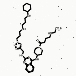 O=C(O)CNCCCC(=O)N1CCC(Nc2nc(NCc3nnn(CCCNCCCNC4CCCCC4)n3)nc3ccccc23)CC1